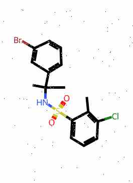 Cc1c(Cl)cccc1S(=O)(=O)NC(C)(C)c1cccc(Br)c1